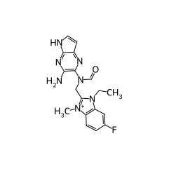 CCn1c(CN(C=O)c2nc3cc[nH]c3nc2N)[n+](C)c2ccc(F)cc21